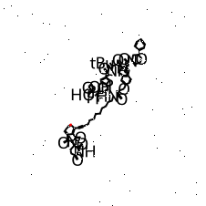 CC(C)(C)C(NC(=O)c1cc2cc(C(F)(F)P(=O)(O)O)ccc2s1)C(=O)N1Cc2cc(OCC(=O)NCCCCCCCCCC#Cc3cccc4c3C(=O)N(C3CCC(=O)NC3=O)C4=O)ccc2C[C@H]1C(=O)N1CCO[C@H](c2ccccc2)C1